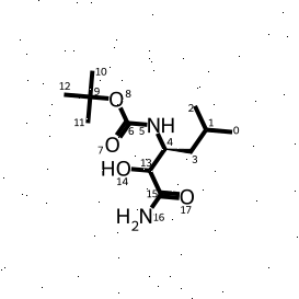 CC(C)C[C@H](NC(=O)OC(C)(C)C)C(O)C(N)=O